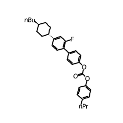 CCCC[C@H]1CC[C@H](c2ccc(-c3ccc(OC(=O)Oc4ccc(CCC)cc4)cc3)c(F)c2)CC1